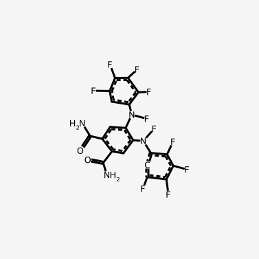 NC(=O)c1cc(N(F)c2cc(F)c(F)c(F)c2F)c(N(F)c2cc(F)c(F)c(F)c2F)cc1C(N)=O